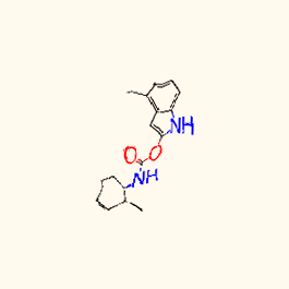 Cc1cccc2[nH]c(OC(=O)N[C@@H]3CCCC[C@@H]3C)cc12